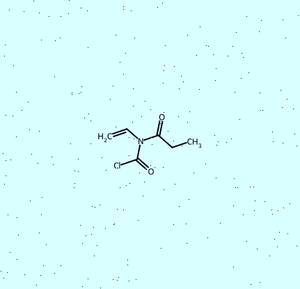 C=CN(C(=O)Cl)C(=O)CC